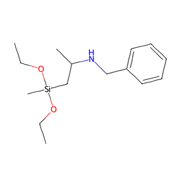 CCO[Si](C)(CC(C)NCc1ccccc1)OCC